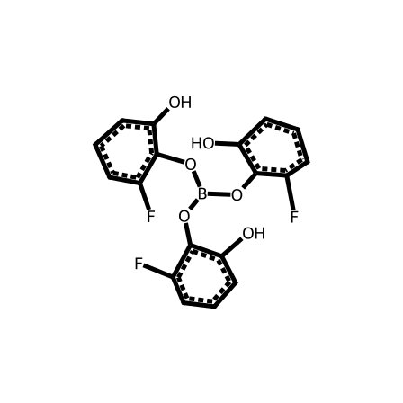 Oc1cccc(F)c1OB(Oc1c(O)cccc1F)Oc1c(O)cccc1F